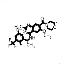 COc1cc2c(N[C@H](C)c3cc(N)cc(C(F)(F)F)c3F)nc(C)nc2cc1C(=O)N1CCOCC1